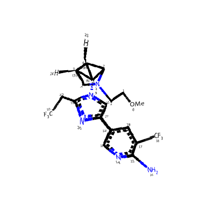 COCCN1C[C@@H]2[C@@H]3C1[C@@]23n1cc(-c2cnc(N)c(C(F)(F)F)c2)nc1CC(F)(F)F